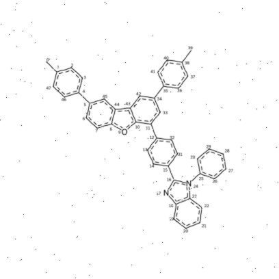 Cc1ccc(-c2ccc3oc4c(-c5ccc(-c6nc7ccccc7n6-c6ccccc6)cc5)cc(-c5ccc(C)cc5)cc4c3c2)cc1